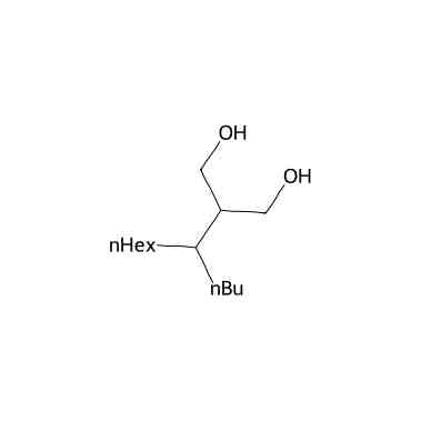 CCCCCCC(CCCC)C(CO)CO